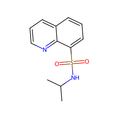 CC(C)NS(=O)(=O)c1cccc2cccnc12